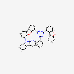 c1ccc(-c2nc(-c3cccc4c3oc3c(-n5c6ccccc6c6cccnc65)cccc34)nc(-c3cccc4oc5ccccc5c34)n2)cc1